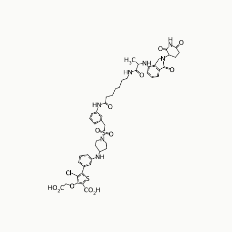 CC(Nc1cccc2c1CN(C1CCC(=O)NC1=O)C2=O)C(=O)NCCCCCCC(=O)Nc1cccc(CS(=O)(=O)N2CCC(Nc3cccc(-c4sc(C(=O)O)c(OCC(=O)O)c4Cl)c3)CC2)c1